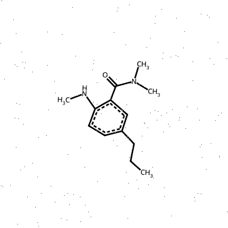 CCCc1ccc(NC)c(C(=O)N(C)C)c1